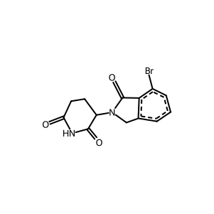 O=C1CCC(N2Cc3cccc(Br)c3C2=O)C(=O)N1